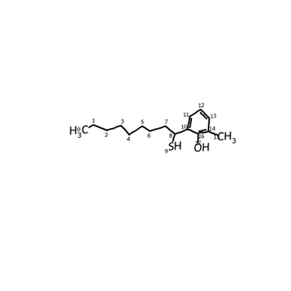 CCCCCCCCC(S)c1cccc(C)c1O